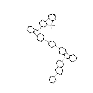 CC1(C)c2ccccc2-c2ccc(-n3c4ccccc4c4ccc(-c5ccc(-c6ccc7c8ccccc8n(-c8ccc9cc(-c%10ccccc%10)ccc9c8)c7c6)cc5)cc43)cc21